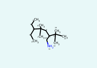 CCC(CC)C(C)(C)CC(CN)C(C)(C)C